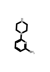 Bc1cccc(N2CCNCC2)n1